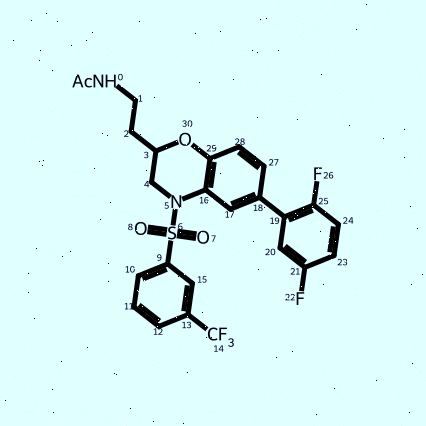 CC(=O)NCCC1CN(S(=O)(=O)c2cccc(C(F)(F)F)c2)c2cc(-c3cc(F)ccc3F)ccc2O1